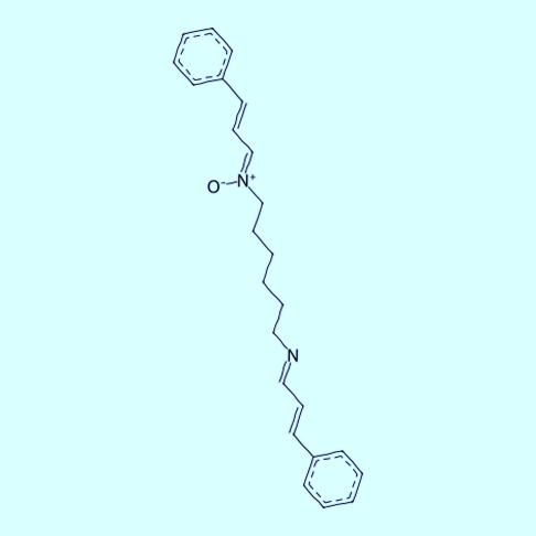 [O-][N+](=CC=Cc1ccccc1)CCCCCCN=CC=Cc1ccccc1